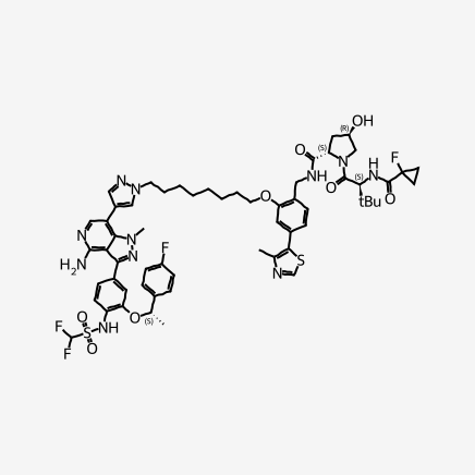 Cc1ncsc1-c1ccc(CNC(=O)[C@@H]2C[C@@H](O)CN2C(=O)[C@@H](NC(=O)C2(F)CC2)C(C)(C)C)c(OCCCCCCCCn2cc(-c3cnc(N)c4c(-c5ccc(NS(=O)(=O)C(F)F)c(O[C@@H](C)c6ccc(F)cc6)c5)nn(C)c34)cn2)c1